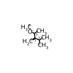 C=C(C(C)C)C(C)OC